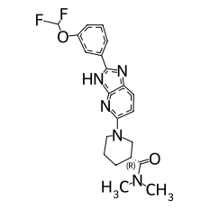 CN(C)C(=O)[C@@H]1CCCN(c2ccc3nc(-c4cccc(OC(F)F)c4)[nH]c3n2)C1